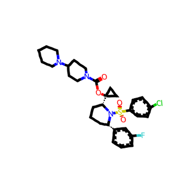 O=C(OC1([C@H]2CCC[C@@H](c3cccc(F)c3)N2S(=O)(=O)c2ccc(Cl)cc2)CC1)N1CCC(N2CCCCC2)CC1